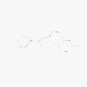 CCCC1CCC2C(CCC3CC(c4ccc(OC(F)(F)F)c(F)c4)CCC32)C1